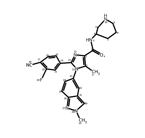 Cc1c(C(=O)NC2CCCNC2)nc(-c2ccc(C#N)c(F)c2)n1-c1ccc2nn(C)cc2c1